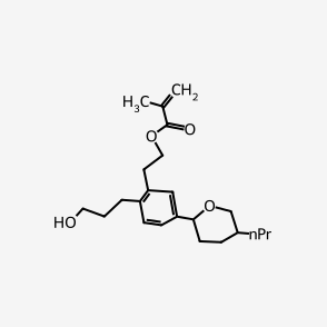 C=C(C)C(=O)OCCc1cc(C2CCC(CCC)CO2)ccc1CCCO